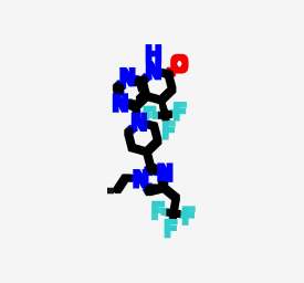 [CH2]Cn1cc(CC(F)(F)F)nc1C1CCN(c2ncnc3c2[C@H](C(F)(F)F)CC(=O)N3)CC1